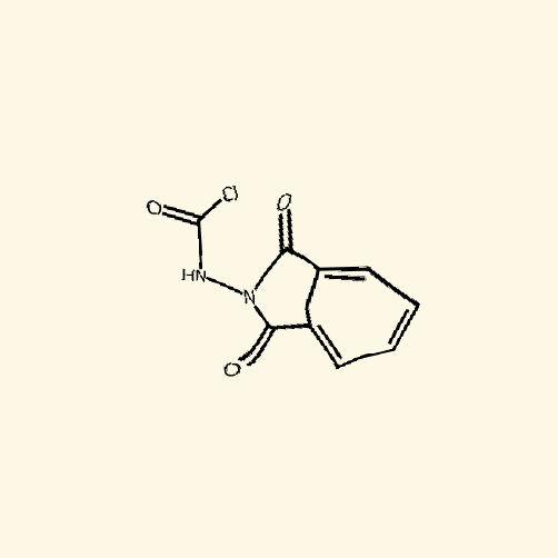 O=C(Cl)NN1C(=O)c2ccccc2C1=O